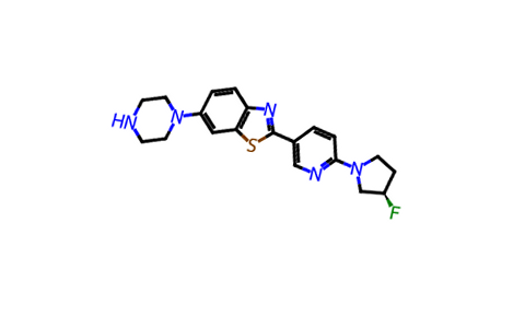 F[C@@H]1CCN(c2ccc(-c3nc4ccc(N5CCNCC5)cc4s3)cn2)C1